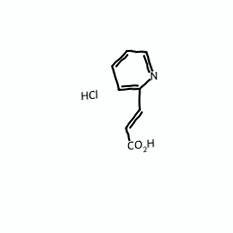 Cl.O=C(O)/C=C/c1ccccn1